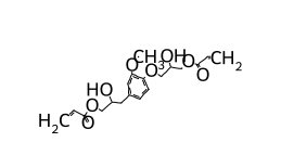 C=CC(=O)OCC(O)COc1ccc(CC(O)COC(=O)C=C)cc1OC